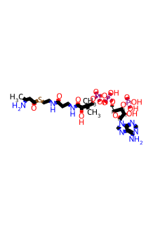 CC(N)CC(=O)SCCNC(=O)CCNC(=O)C(O)C(C)(C)COP(=O)(O)OP(=O)(O)OC[C@H]1O[C@H](n2cnc3c(N)ncnc32)[C@H](O)[C@@H]1OP(=O)(O)O